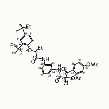 CCC(Oc1ccc(C(C)(C)CC)cc1C(C)(C)CC)C(=O)Nc1cccc(NC(=O)C(Cl)(OC(C)=O)C(=O)c2ccc(OC)cc2)c1